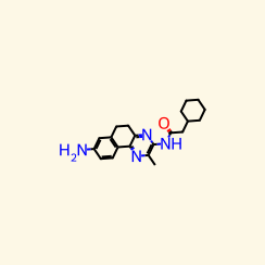 Cc1nc2c(nc1NC(=O)CC1CCCCC1)CCc1cc(N)ccc1-2